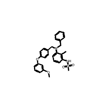 COc1cccc(Oc2ccc(CN(Cc3ccccc3)c3cccc(NS(C)(=O)=O)c3C)cc2)c1